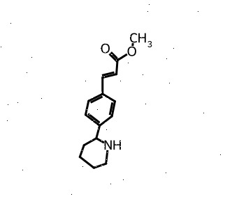 COC(=O)C=Cc1ccc(C2CCCCN2)cc1